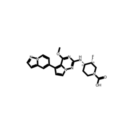 COc1nc(N[C@H]2CCN(C(=O)O)C[C@H]2F)nn2ccc(-c3ccn4nccc4c3)c12